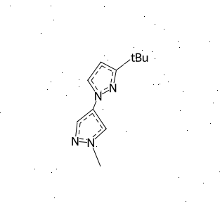 Cn1cc(-n2ccc(C(C)(C)C)n2)cn1